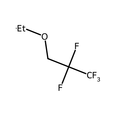 C[CH]OCC(F)(F)C(F)(F)F